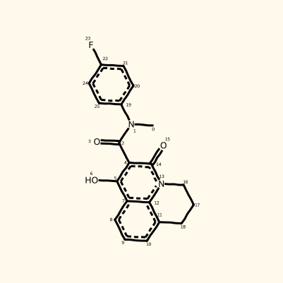 CN(C(=O)c1c(O)c2cccc3c2n(c1=O)CCC3)c1ccc(F)cc1